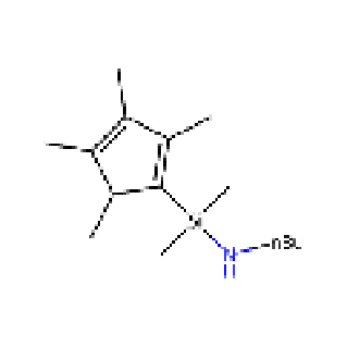 CCCCN[Si](C)(C)C1=C(C)C(C)=C(C)C1C